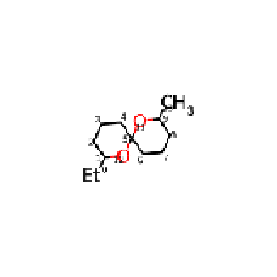 CCC1CCCC2(CCCC(C)O2)O1